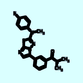 CN(C)C(=O)c1cccc(-c2cnc3sc(N(C)c4ccc(F)cc4)nn23)c1